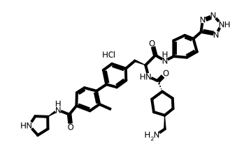 Cc1cc(C(=O)N[C@H]2CCNC2)ccc1-c1ccc(C[C@H](NC(=O)[C@H]2CC[C@H](CN)CC2)C(=O)Nc2ccc(-c3nn[nH]n3)cc2)cc1.Cl